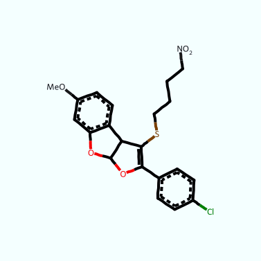 COc1ccc2c(c1)OC1OC(c3ccc(Cl)cc3)=C(SCCCC[N+](=O)[O-])C21